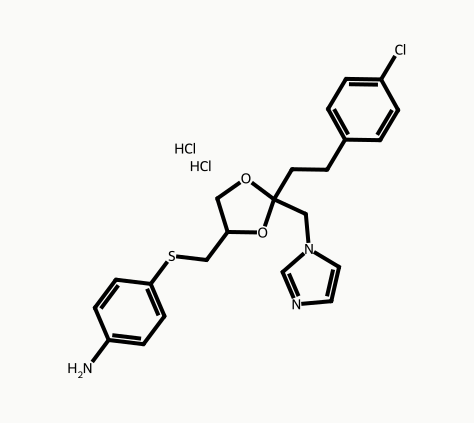 Cl.Cl.Nc1ccc(SCC2COC(CCc3ccc(Cl)cc3)(Cn3ccnc3)O2)cc1